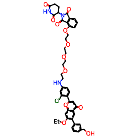 CCOc1cc2oc(-c3ccc(NCCOCCOCCOCCOc4cccc5c4C(=O)N(C4CCC(=O)NC4=O)C5=O)cc3Cl)cc(=O)c2cc1-c1cccc(CO)c1